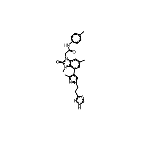 Cc1ccc(NC(=O)Cn2c(=O)n(C)c3c(-c4cn(CCc5nc[nH]n5)nc4C)cc(C)cc32)cc1